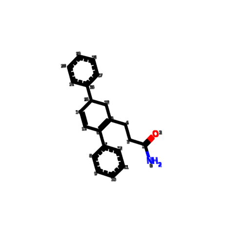 NC(=O)CCC1=C(c2ccccc2)C=CC(c2ccccc2)C1